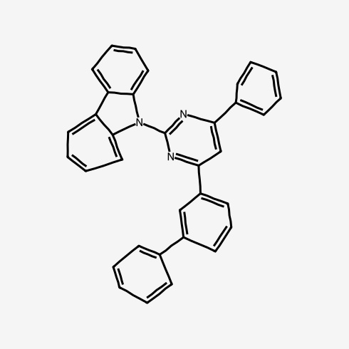 c1ccc(-c2cccc(-c3cc(-c4ccccc4)nc(-n4c5ccccc5c5ccccc54)n3)c2)cc1